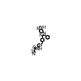 O=C(N[C@@H]1CCN(Cc2ccc(-c3nc4cc5nc[nH]c5cc4nc3-c3ccccc3)cc2)C1)c1cncs1